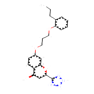 CCCc1ccccc1OCCCOc1ccc2c(=O)cc(-c3nnn[nH]3)oc2c1